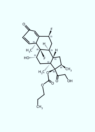 CCCOC(=O)O[C@]1(C(=O)CO)[C@H](C)C[C@H]2[C@@H]3C[C@H](F)C4=CC(=O)C=C[C@]4(C)[C@@]3(F)[C@@H](O)C[C@@]21C